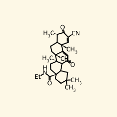 CCNC(=O)[C@]12CCC(C)(C)CC1C1C(=O)C=C3[C@@]4(C)C=C(C#N)C(=O)[C@@H](C)C4CC[C@@]3(C)[C@]1(C)CC2